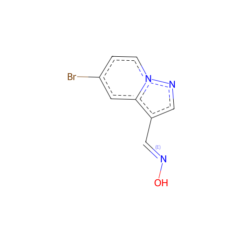 O/N=C/c1cnn2ccc(Br)cc12